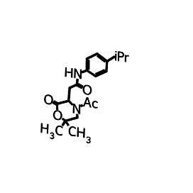 CC(=O)N1CC(C)(C)OC(=O)C1CC(=O)Nc1ccc(C(C)C)cc1